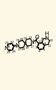 O=C(c1cccc2c1CNCC2)N1CCC2(CC1)CCN(c1ccncc1)CC2